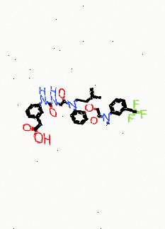 CC(C)CCN(C(=O)CNC(=O)Nc1cccc(CC(=O)O)c1)c1ccccc1OCC(=O)N(C)c1cccc(C(F)(F)F)c1